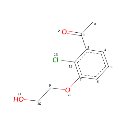 CC(=O)c1cccc(OCCO)c1Cl